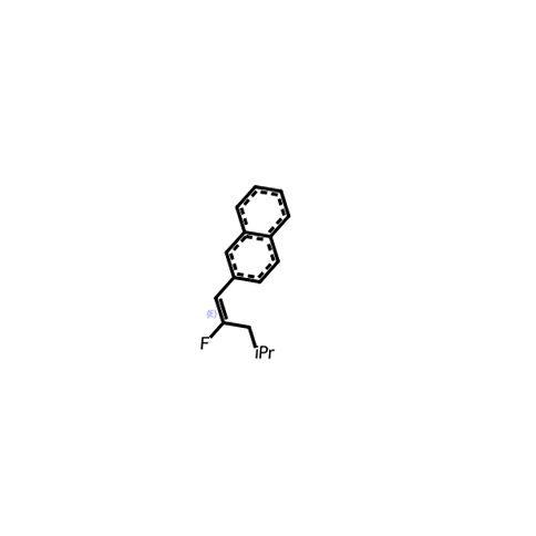 CC(C)C/C(F)=C\c1ccc2ccccc2c1